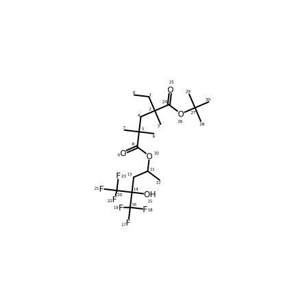 CCC(C)(CC(C)(C)C(=O)OC(C)CC(O)(C(F)(F)F)C(F)(F)F)C(=O)OC(C)(C)C